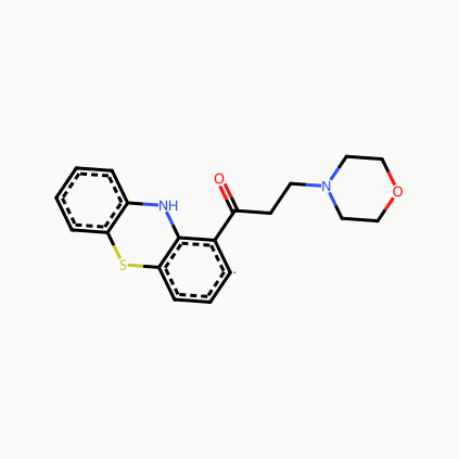 O=C(CCN1CCOCC1)c1[c]ccc2c1Nc1ccccc1S2